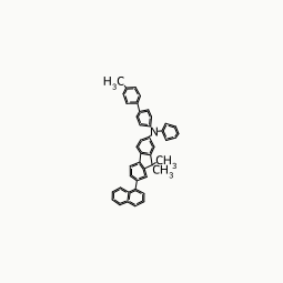 Cc1ccc(-c2ccc(N(c3ccccc3)c3ccc4c(c3)C(C)(C)c3cc(-c5cccc6ccccc56)ccc3-4)cc2)cc1